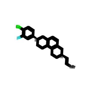 CCCC=C[C@H]1CCc2c(ccc3c2CC[C@H](c2ccc(Cl)c(F)c2)C3)C1